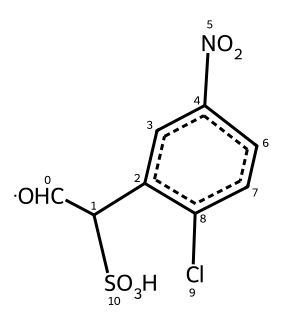 O=[C]C(c1cc([N+](=O)[O-])ccc1Cl)S(=O)(=O)O